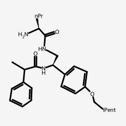 CCCC(C)COc1ccc([C@H](CNC(=O)[C@@H](N)CCC)NC(=O)C(C)c2ccccc2)cc1